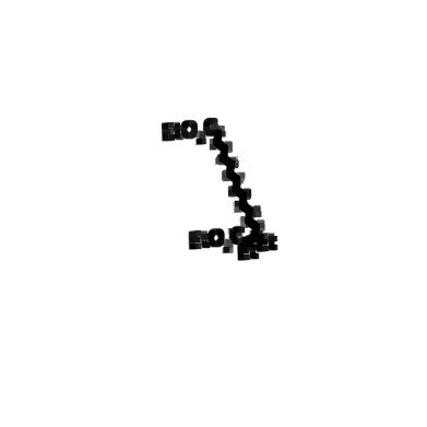 CCOC(=O)CCCCCCCCCCCCCC(CC)C(CC)C(=O)OCC